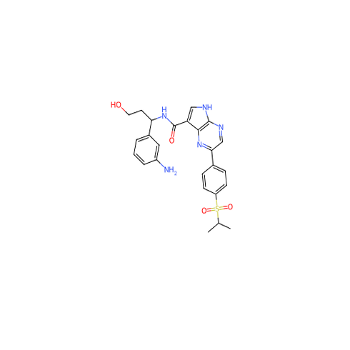 CC(C)S(=O)(=O)c1ccc(-c2cnc3[nH]cc(C(=O)NC(CCO)c4cccc(N)c4)c3n2)cc1